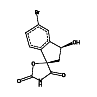 O=C1NC(=O)[C@]2(C[C@H](O)c3cc(Br)ccc32)O1